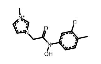 Cc1ccc(N(O)C(=O)Cn2cc[n+](C)c2)cc1Cl